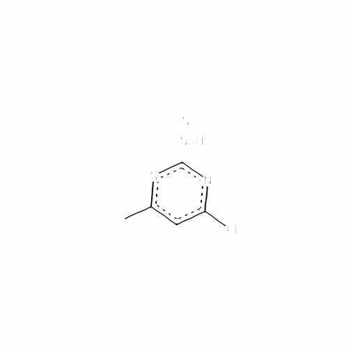 Clc1cc(Cl)ncn1.[NaH].[NaH]